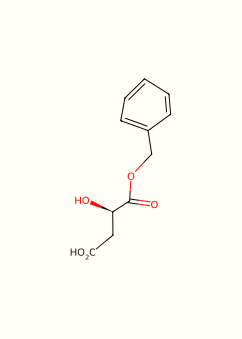 O=C(O)C[C@@H](O)C(=O)OCc1ccccc1